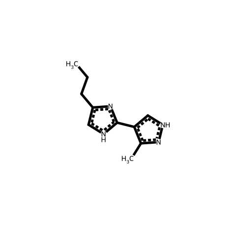 CCCc1c[nH]c(-c2c[nH]nc2C)n1